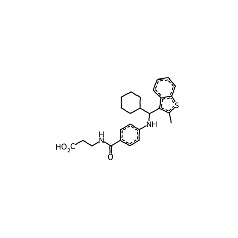 Cc1sc2ccccc2c1C(Nc1ccc(C(=O)NCCC(=O)O)cc1)C1CCCCC1